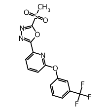 CS(=O)(=O)c1nnc(-c2cccc(Oc3cccc(C(F)(F)F)c3)n2)o1